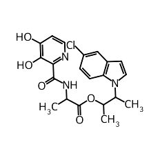 CC(NC(=O)c1nccc(O)c1O)C(=O)OC(C)C(C)n1ccc2cc(Cl)ccc21